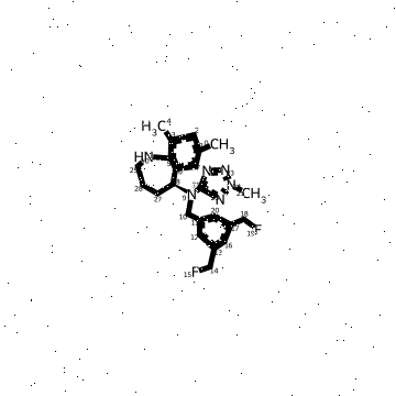 Cc1cc(C)c2c(c1)[C@@H](N(Cc1cc(CF)cc(CF)c1)c1nnn(C)n1)CCCN2